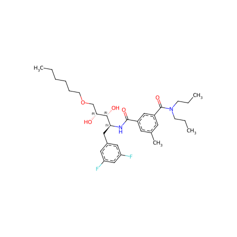 CCCCCCOC[C@@H](O)[C@H](O)[C@H](Cc1cc(F)cc(F)c1)NC(=O)c1cc(C)cc(C(=O)N(CCC)CCC)c1